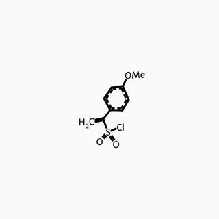 C=C(c1ccc(OC)cc1)S(=O)(=O)Cl